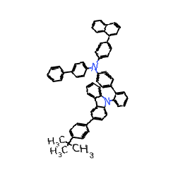 CC(C)(C)c1ccc(-c2ccc3c(c2)c2ccccc2n3-c2ccccc2-c2ccc(N(c3ccc(-c4ccccc4)cc3)c3ccc(-c4cccc5ccccc45)cc3)cc2)cc1